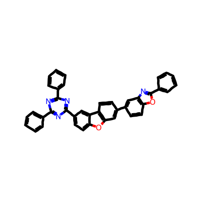 c1ccc(-c2nc(-c3ccccc3)nc(-c3ccc4oc5cc(-c6ccc7oc(-c8ccccc8)nc7c6)ccc5c4c3)n2)cc1